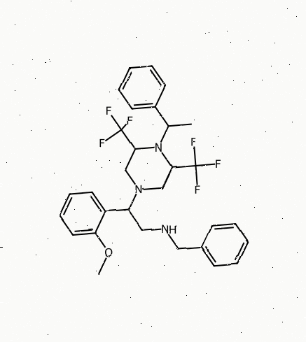 COc1ccccc1C(CNCc1ccccc1)N1CC(C(F)(F)F)N(C(C)c2ccccc2)C(C(F)(F)F)C1